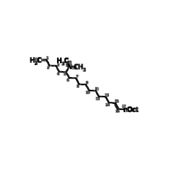 C=CCCCC(CCCCCCCCCC=CCCCCCCCC)N(C)C